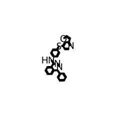 c1ccc(-c2nnc(Nc3ccc(Sc4ccnc5ccoc45)cc3)c3ccccc23)cc1